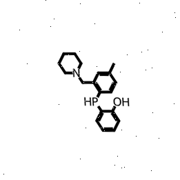 Cc1ccc(Pc2ccccc2O)c(CN2CCCCC2)c1